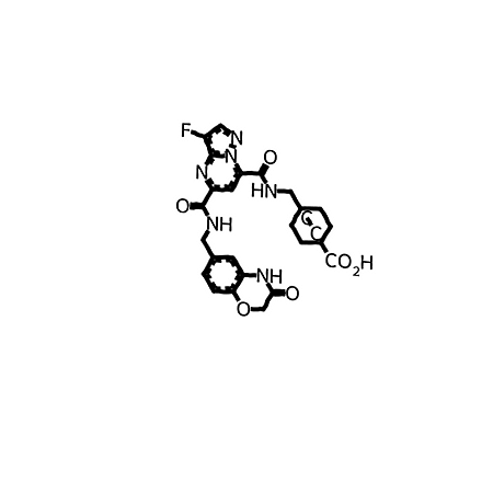 O=C1COc2ccc(CNC(=O)c3cc(C(=O)NCC45CCC(C(=O)O)(CC4)CC5)n4ncc(F)c4n3)cc2N1